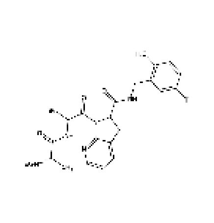 CN[C@@H](C)C(=O)NC(C(=O)N1c2ncccc2CC1C(=O)NCc1cc(F)ccc1C)C(C)C